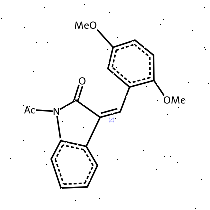 COc1ccc(OC)c(/C=C2\C(=O)N(C(C)=O)c3ccccc32)c1